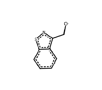 [O]Cc1nsc2ccccc12